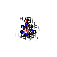 CC(C)[C@@H](CN1CCC[C@H]1C(=O)N1CCC[C@H]1C(=O)N1C[C@H](OC(C)(C)C)C[C@H]1C(=O)OC(C)(C)C)N(C)C(=O)[C@@H](NC(=O)[C@H]1CCCCN1C)C(C)(C)C